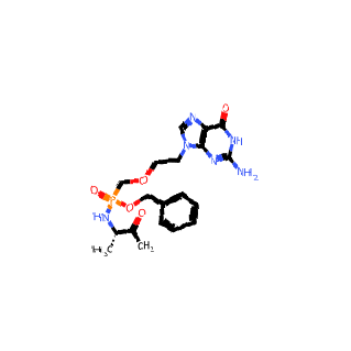 CC(=O)[C@H](C)NP(=O)(COCCn1cnc2c(=O)[nH]c(N)nc21)OCc1ccccc1